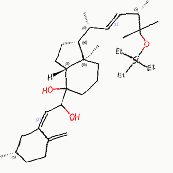 C=C1CC[C@H](CC)C/C1=C/C(O)C1(O)CCC[C@]2(C)[C@@H]([C@H](C)/C=C/[C@H](C)C(C)(C)O[Si](CC)(CC)CC)CC[C@@H]12